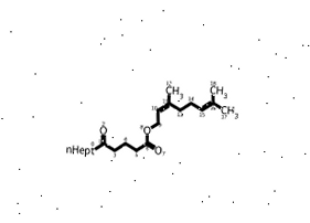 CCCCCCCC(=O)CCCC(=O)OCC=C(C)CCC=C(C)C